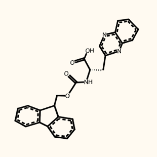 O=C(N[C@@H](Cc1cnc2ccccc2n1)C(=O)O)OCC1c2ccccc2-c2ccccc21